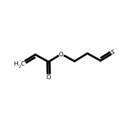 C=CC(=O)OCCC=S